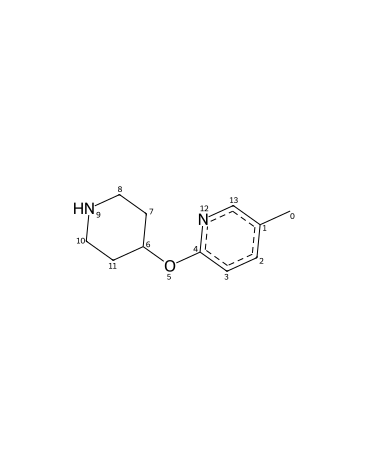 Cc1ccc(OC2CCNCC2)nc1